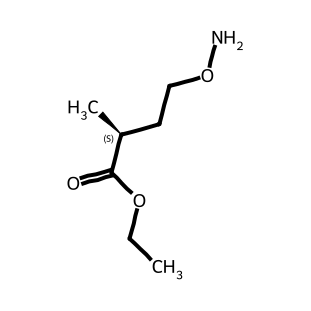 CCOC(=O)[C@@H](C)CCON